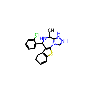 N#CC1NC(c2ccccc2Cl)c2c(sc3c2CCC=C3)N2CNNC12